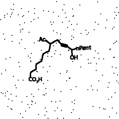 CCCCCC(O)C#CCC(CCCCCCC(=O)O)C(C)=O